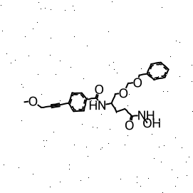 COCC#Cc1ccc(C(=O)NC(CCC(=O)NO)COCOCc2ccccc2)cc1